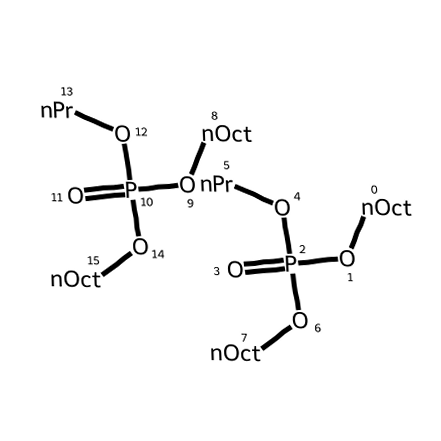 CCCCCCCCOP(=O)(OCCC)OCCCCCCCC.CCCCCCCCOP(=O)(OCCC)OCCCCCCCC